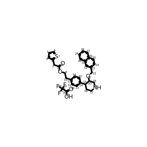 O=C(Cc1cccs1)OCCc1ccc(C2CCNCC2OCc2ccc3ccccc3c2)cc1.O=C(O)C(F)(F)F